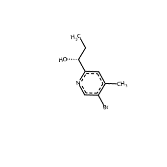 CC[C@@H](O)c1cc(C)c(Br)cn1